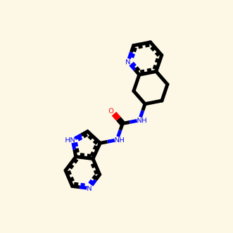 O=C(Nc1c[nH]c2ccncc12)NC1CCc2cccnc2C1